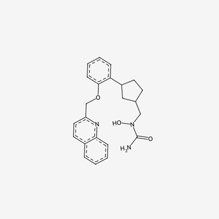 NC(=O)N(O)CC1CCC(c2ccccc2OCc2ccc3ccccc3n2)C1